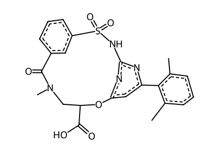 Cc1cccc(C)c1-c1cc2nc(n1)NS(=O)(=O)c1cccc(c1)C(=O)N(C)CC(C(=O)O)O2